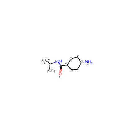 CC(C)NC(=O)[C@H]1CC[C@H](N)CC1